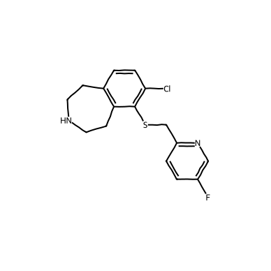 Fc1ccc(CSc2c(Cl)ccc3c2CCNCC3)nc1